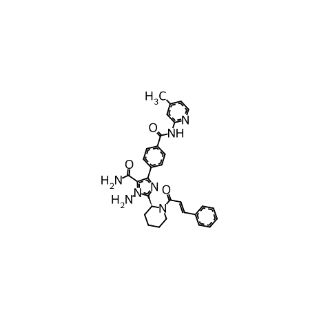 Cc1ccnc(NC(=O)c2ccc(-c3nc([C@@H]4CCCCN4C(=O)/C=C/c4ccccc4)n(N)c3C(N)=O)cc2)c1